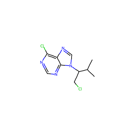 CC(C)C(CCl)n1cnc2c(Cl)ncnc21